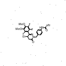 CCCC(=O)Nc1ccc(CN2N=C(c3c(F)c(F)c(OC)c(OC)c3F)C(CC)CC2=O)cc1